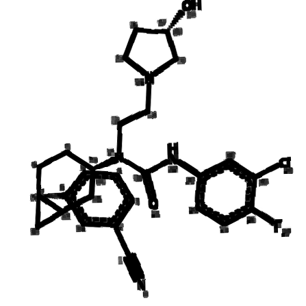 N#Cc1cccc([C@]23CC[C@@H](N(CCN4CC[C@H](O)C4)C(=O)Nc4ccc(F)c(Cl)c4)CC2C3)c1